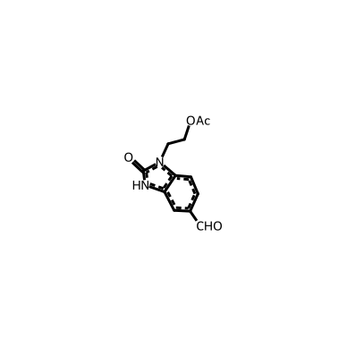 CC(=O)OCCn1c(=O)[nH]c2cc(C=O)ccc21